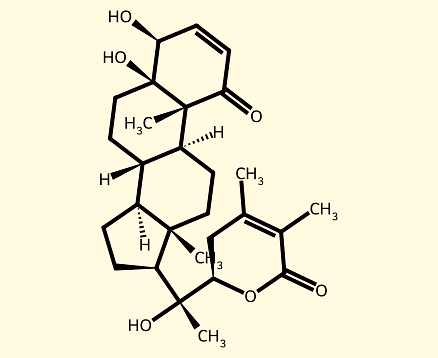 CC1=C(C)C(=O)O[C@@H]([C@](C)(O)[C@H]2CC[C@H]3[C@@H]4CC[C@]5(O)[C@@H](O)C=CC(=O)[C@]5(C)[C@H]4CC[C@]23C)C1